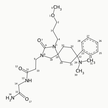 COCCCN1C(=O)N(CCC(=O)NCC(N)=O)CC12CCC(c1ccccc1)(N(C)C)CC2